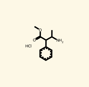 COC(=O)C(c1ccccc1)C(C)N.Cl